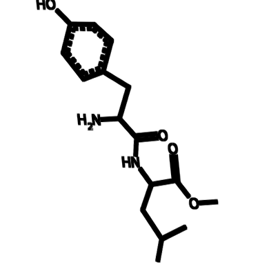 COC(=O)C(CC(C)C)NC(=O)C(N)Cc1ccc(O)cc1